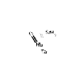 [O]=[Nb].[SrH2].[Ta].[Ti]